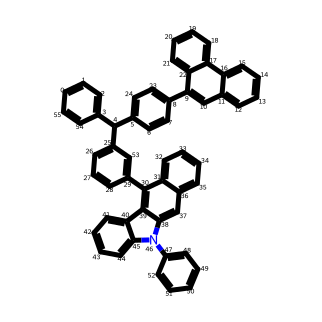 c1ccc(C(c2ccc(-c3cc4ccccc4c4ccccc34)cc2)c2cccc(-c3c4ccccc4cc4c3c3ccccc3n4-c3ccccc3)c2)cc1